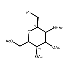 CC(=O)NC1C(OC(C)=O)[C@@H](OC(C)=O)C(COC(C)=O)O[C@H]1CC(C)C